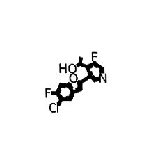 CC(O)c1c(F)cncc1-c1cc2cc(Cl)c(F)cc2o1